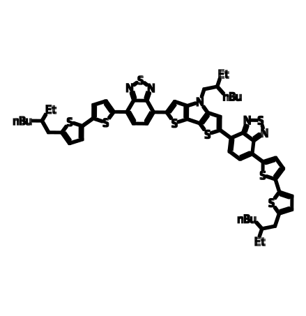 CCCCC(CC)Cc1ccc(-c2ccc(-c3ccc(-c4cc5c(s4)c4sc(-c6ccc(-c7ccc(-c8ccc(CC(CC)CCCC)s8)s7)c7nsnc67)cc4n5CC(CC)CCCC)c4nsnc34)s2)s1